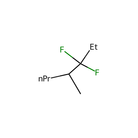 CCCC(C)C(F)(F)CC